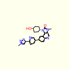 Cn1cc(-c2ccc(-c3ccc4ncc5c(c4c3)n([C@H]3CC[C@H](O)CC3)c(=O)n5C)cn2)nn1